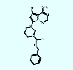 Nc1ncnn2c([C@@H]3CCCN(C(=O)OCc4ccccc4)C3)cc(Br)c12